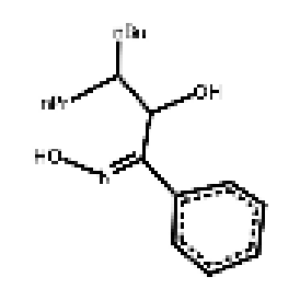 CCCCC(CCC)C(O)C(=NO)c1ccccc1